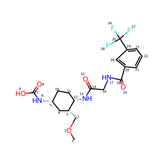 COC[C@@H]1C[C@H](NC(=O)O)CC[C@@H]1NC(=O)CNC(=O)c1cccc(C(F)(F)F)c1